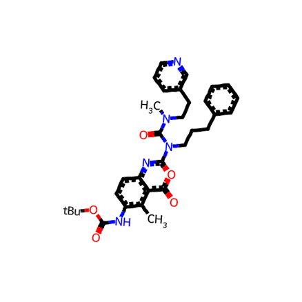 Cc1c(NC(=O)OC(C)(C)C)ccc2nc(N(CCCc3ccccc3)C(=O)N(C)CCc3cccnc3)oc(=O)c12